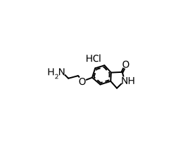 Cl.NCCOc1ccc2c(c1)CNC2=O